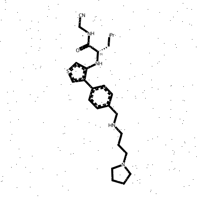 CC(C)C[C@H](Nc1cscc1-c1ccc(CNCCCN2CCCC2)cc1)C(=O)NCC#N